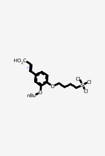 CCCCOc1cc(/C=C/C(=O)O)ccc1OCCCC[Si](Cl)(Cl)Cl